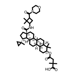 CC(C)(CC(=O)O[C@H]1CC[C@]2(C)[C@H]3CC[C@@H]4C5[C@H](C6(C)CC6)CC[C@]5(C(=O)NC5CC(C(=O)N6CCOCC6)C5(C)C)CC[C@@]4(C)[C@]3(C)CC[C@H]2C1(C)C)C(=O)O